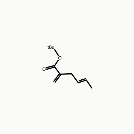 C=C(CC=CC)C(=O)OC(C)(C)C